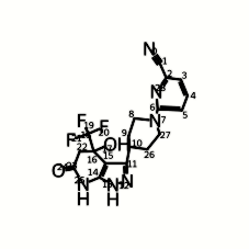 N#Cc1cccc(N2CCC(c3n[nH]c4c3C(O)(C(F)(F)F)CC(=O)N4)CC2)n1